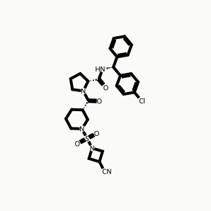 N#CC1CN(S(=O)(=O)N2CCC[C@H](C(=O)N3CCC[C@@H]3C(=O)N[C@H](c3ccccc3)c3ccc(Cl)cc3)C2)C1